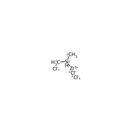 C[SiH](C)[Zr+3].[Cl-].[Cl-].[Cl-]